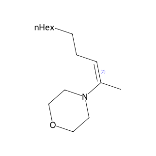 CCCCCCCC/C=C(/C)N1CCOCC1